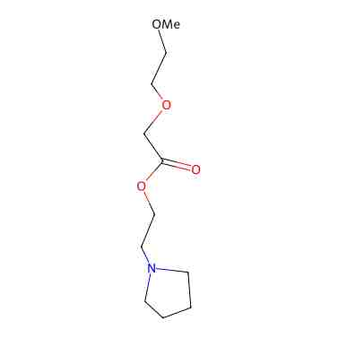 COCCOCC(=O)OCCN1CCCC1